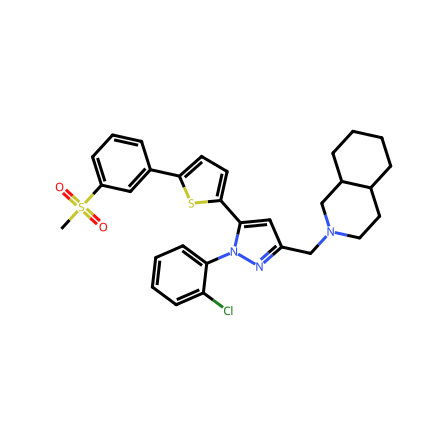 CS(=O)(=O)c1cccc(-c2ccc(-c3cc(CN4CCC5CCCCC5C4)nn3-c3ccccc3Cl)s2)c1